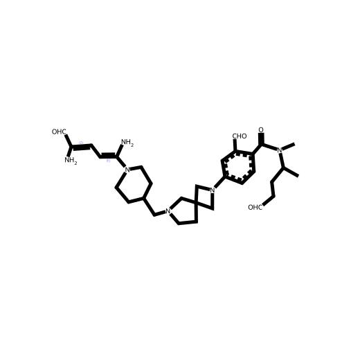 CC(CCC=O)N(C)C(=O)c1ccc(N2CC3(CCN(CC4CCN(/C(N)=C/C=C(\N)C=O)CC4)C3)C2)cc1C=O